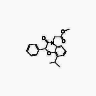 COC(=O)CN1C(=O)C(c2ccccc2)Oc2c(C(C)C)cccc21